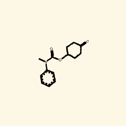 CN(C(=O)OC1CCC(=O)CC1)c1ccccc1